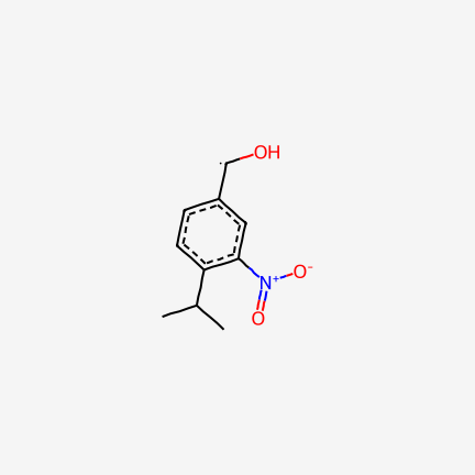 CC(C)c1ccc([CH]O)cc1[N+](=O)[O-]